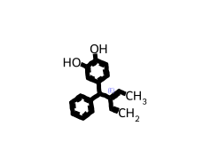 C=C/C(=C\C)C(c1ccccc1)c1ccc(O)c(O)c1